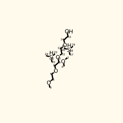 COC.COCCOCCOCCOCCO.C[SiH](C)C.C[SiH](C)C